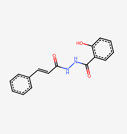 O=C(/C=C/c1ccccc1)NNC(=O)c1ccccc1O